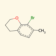 Cc1ccc2c(c1Br)OCCC2